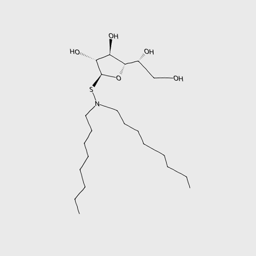 CCCCCCCCN(CCCCCCCC)S[C@@H]1O[C@@H]([C@H](O)CO)[C@H](O)[C@H]1O